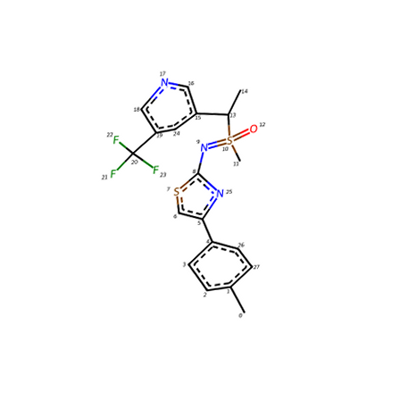 Cc1ccc(-c2csc(N=S(C)(=O)C(C)c3cncc(C(F)(F)F)c3)n2)cc1